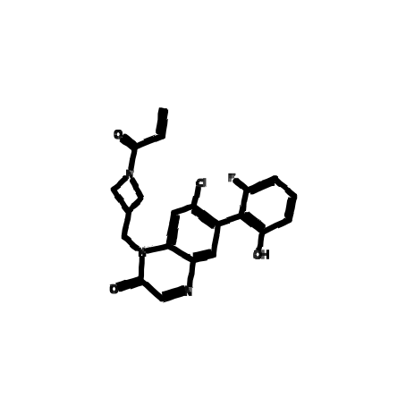 C=CC(=O)N1CC(Cn2c(=O)cnc3cc(-c4c(O)cccc4F)c(Cl)cc32)C1